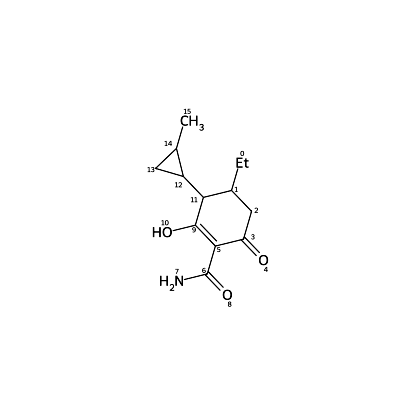 CCC1CC(=O)C(C(N)=O)=C(O)C1C1CC1C